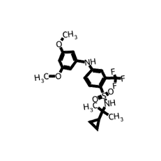 COc1cc(Nc2ccc(S(=O)(=O)NC(C)(C)C3CC3)c(C(F)(F)F)c2)cc(OC)c1